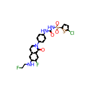 O=C(Nc1ccc(-n2ccc3cc(NCCF)c(F)cc3c2=O)cc1)NS(=O)(=O)c1ccc(Cl)s1